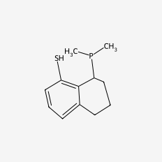 CP(C)C1CCCc2cccc(S)c21